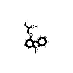 OC(CCl)COc1cccc2[nH]c3ccccc3c12